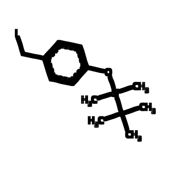 CC(C)(C)[Si](C)(C)Oc1ccc(CI)cc1